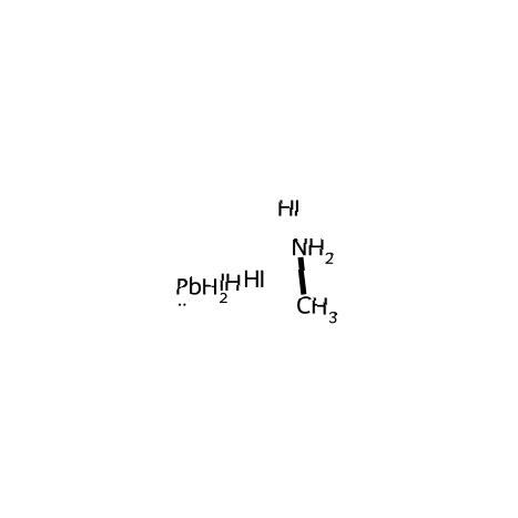 CN.I.I.I.[PbH2]